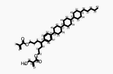 C=C(C)C(=O)OCCCC(CCCOC(=O)C(=C)CO)c1ccc(C2CCC(C3CCC(C4CCC(CCCCC)CC4)CC3)CC2)cc1